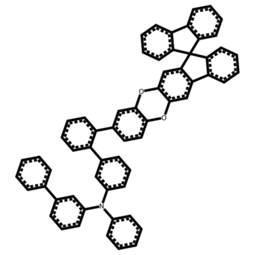 c1ccc(-c2cccc(N(c3ccccc3)c3cccc(-c4ccccc4-c4ccc5c(c4)Oc4cc6c(cc4O5)-c4ccccc4C64c5ccccc5-c5ccccc54)c3)c2)cc1